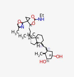 C=C1/C(=C\C=C2/CCC[C@]3(C)[C@@H]([C@H](C)CC[C@@H](OC(=O)NCC)C4(c5nc(C)co5)CC4)CC[C@@H]23)C[C@@H](O)C[C@@H]1O